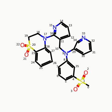 CS(=O)(=O)c1cccc(N(Cc2cccnc2N2CCS(=O)(=O)c3ccccc32)c2cccnc2)c1